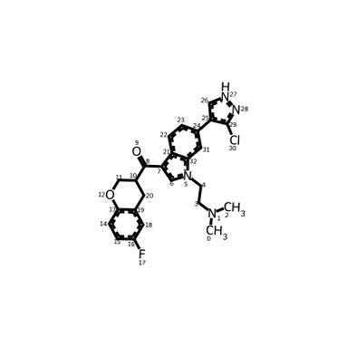 CN(C)CCn1cc(C(=O)C2COc3ccc(F)cc3C2)c2ccc(-c3c[nH]nc3Cl)cc21